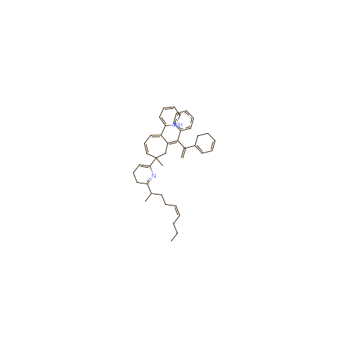 C=C(C1=CC=CCC1)/C(=C1\CC(C)(C2=CCCC(C(C)CC/C=C\CCC)=N2)C=CC=C1C1=CC=CCN1)c1ccccc1